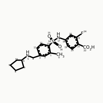 Cc1cc(CNC2CCCC2)ccc1S(=O)(=O)Nc1ccc(C(=O)O)c(F)c1